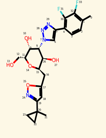 Cc1ccc(-c2cn([C@H]3[C@@H](O)[C@@H](CO)O[C@H](Cc4cc(C5(C)CC5)no4)[C@@H]3O)nn2)c(F)c1F